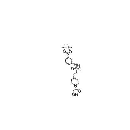 CC1(C)OB(c2cccc(NS(=O)(=O)CCN3CCN(C(=O)CO)CC3)c2)OC1(C)C